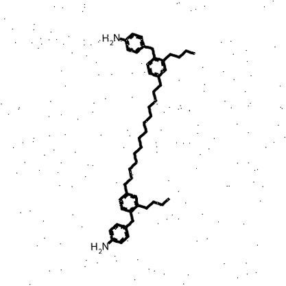 CCCCc1cc(CCCCCCCCCCCCCCc2ccc(Cc3ccc(N)cc3)c(CCCC)c2)ccc1Cc1ccc(N)cc1